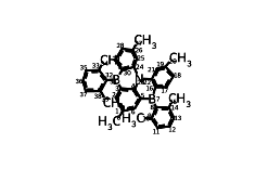 Cc1cc2c3c(c1)B(c1c(C)cccc1C)c1ccc(C)cc1N3c1cc(C)ccc1B2c1c(C)cccc1C